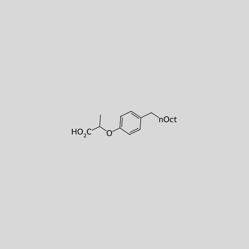 CCCCCCCCCc1ccc(OC(C)C(=O)O)cc1